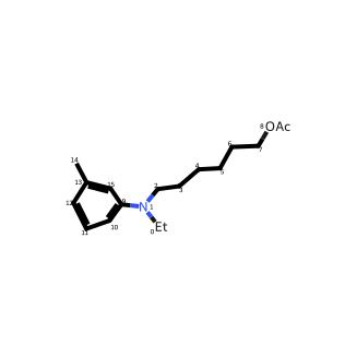 CCN(CCCCCCOC(C)=O)c1cccc(C)c1